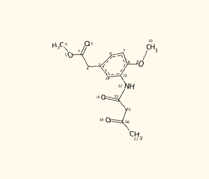 COC(=O)Cc1ccc(OC)c(NC(=O)CC(C)=O)c1